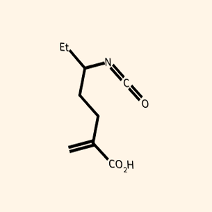 C=C(CCC(CC)N=C=O)C(=O)O